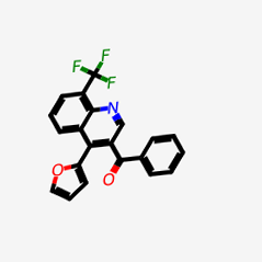 O=C(c1ccccc1)c1cnc2c(C(F)(F)F)cccc2c1-c1ccco1